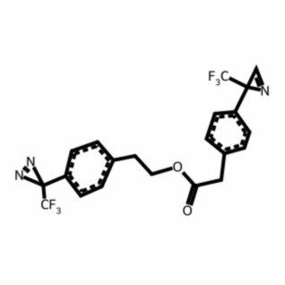 O=C(Cc1ccc(C2(C(F)(F)F)C=N2)cc1)OCCc1ccc(C2(C(F)(F)F)N=N2)cc1